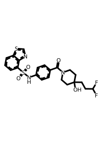 O=C(c1ccc(NS(=O)(=O)c2cccc3scnc23)cc1)N1CCC(O)(CCC(F)F)CC1